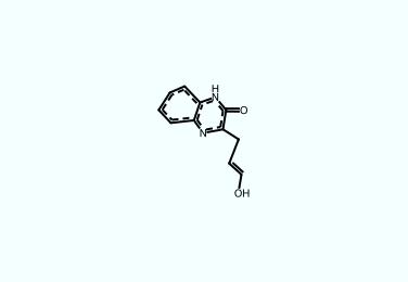 O=c1[nH]c2ccccc2nc1CC=CO